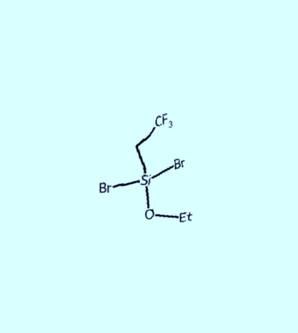 CCO[Si](Br)(Br)CC(F)(F)F